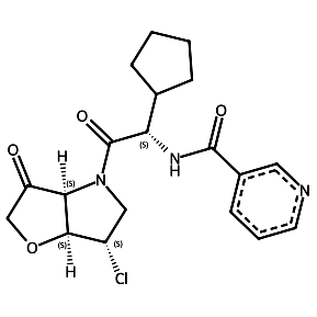 O=C(N[C@H](C(=O)N1C[C@H](Cl)[C@H]2OCC(=O)[C@H]21)C1CCCC1)c1cccnc1